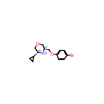 Brc1ccc(OC[C@@H]2COC[C@H](C3CC3)N2)cc1